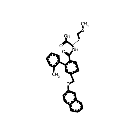 CSCC[C@H](NC(=O)c1ccc(COc2ccc3ccccc3c2)cc1-c1ccccc1C)C(=O)O